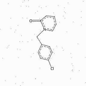 O=c1ccccn1Cc1ccc(Cl)cc1